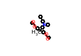 CC(c1ccc(OCc2ccco2)cc1)(c1ccc(OCc2ccco2)cc1)c1ccc(N(c2ccccc2)c2ccc(-c3ccccc3)cc2)cc1